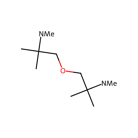 CNC(C)(C)COCC(C)(C)NC